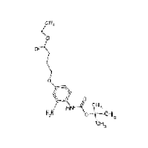 CCOC(=O)CCCOc1ccc(NC(=O)OC(C)(C)C)c(N)c1